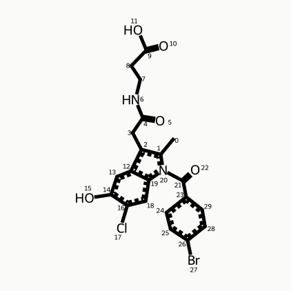 Cc1c(CC(=O)NCCC(=O)O)c2cc(O)c(Cl)cc2n1C(=O)c1ccc(Br)cc1